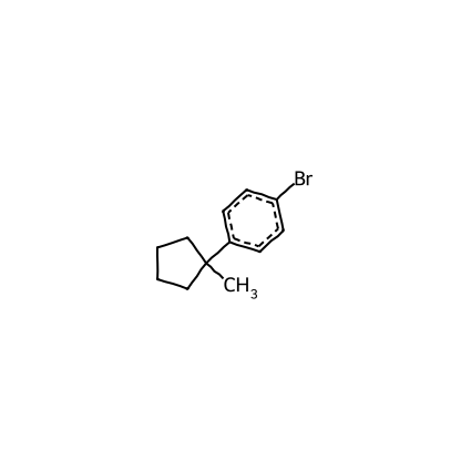 CC1(c2ccc(Br)cc2)CCCC1